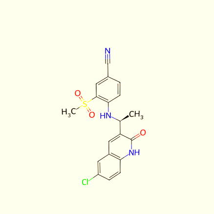 C[C@H](Nc1ccc(C#N)cc1S(C)(=O)=O)c1cc2cc(Cl)ccc2[nH]c1=O